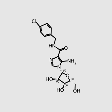 Nc1c(C(=O)NCc2ccc(Cl)cc2)ncn1[C@@H]1O[C@H](CO)[C@@H](O)[C@H]1O